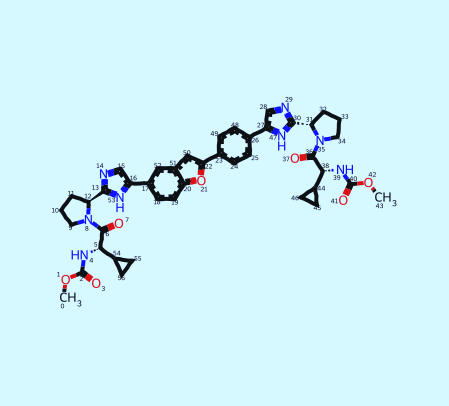 COC(=O)N[C@H](C(=O)N1CCC[C@H]1c1ncc(-c2ccc3oc(-c4ccc(-c5cnc([C@@H]6CCCN6C(=O)[C@H](NC(=O)OC)C6CC6)[nH]5)cc4)cc3c2)[nH]1)C1CC1